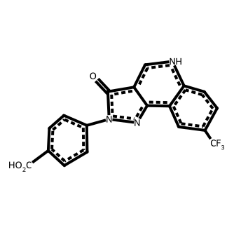 O=C(O)c1ccc(-n2nc3c4cc(C(F)(F)F)ccc4[nH]cc-3c2=O)cc1